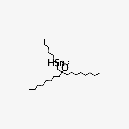 CCCCCCCCC(CCCCCCCC)(CCCCCCCC)[O][SnH]